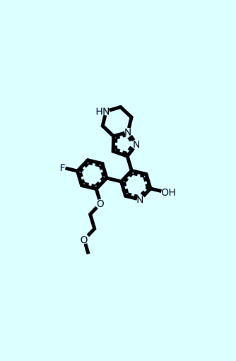 COCCOc1cc(F)ccc1-c1cnc(O)cc1-c1cc2n(n1)CCNC2